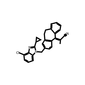 CC(C#N)=C1c2ccccc2CCc2cc(Cn3c(C4CC4)nc4c(Cl)cccc43)ccc21